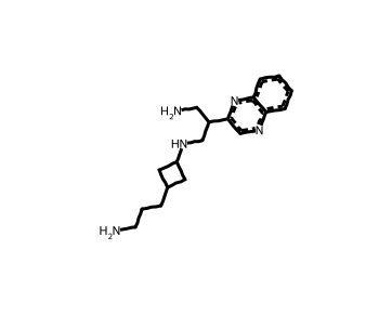 NCCCC1CC(NCC(CN)c2cnc3ccccc3n2)C1